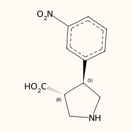 O=C(O)[C@H]1CNC[C@@H]1c1cccc([N+](=O)[O-])c1